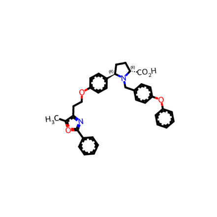 Cc1oc(-c2ccccc2)nc1CCOc1ccc([C@H]2CC[C@H](C(=O)O)N2Cc2ccc(Oc3ccccc3)cc2)cc1